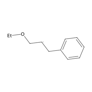 CCOC[CH]Cc1ccccc1